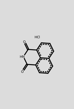 Cl.O=C1NC(=O)c2cccc3cccc1c23